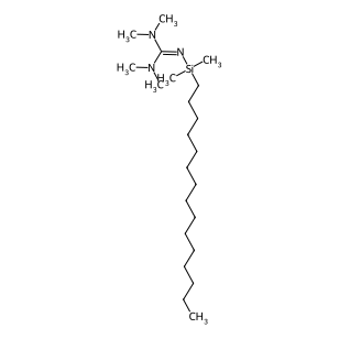 CCCCCCCCCCCCCCC[Si](C)(C)N=C(N(C)C)N(C)C